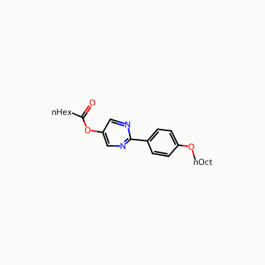 CCCCCCCCOc1ccc(-c2ncc(OC(=O)CCCCCC)cn2)cc1